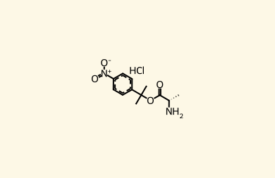 C[C@H](N)C(=O)OC(C)(C)c1ccc([N+](=O)[O-])cc1.Cl